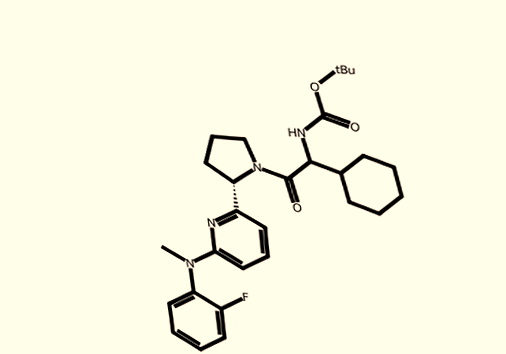 CN(c1cccc([C@@H]2CCCN2C(=O)C(NC(=O)OC(C)(C)C)C2CCCCC2)n1)c1ccccc1F